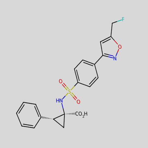 O=C(O)[C@]1(NS(=O)(=O)c2ccc(-c3cc(CF)on3)cc2)C[C@@H]1c1ccccc1